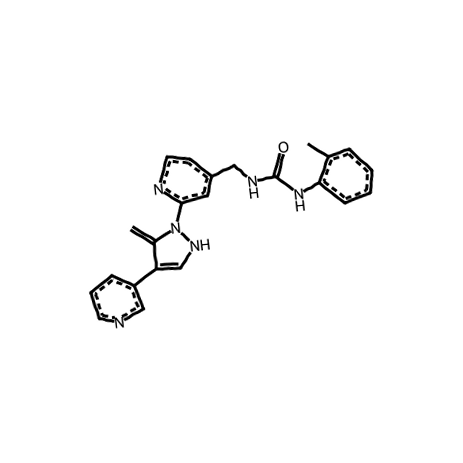 C=C1C(c2cccnc2)=CNN1c1cc(CNC(=O)Nc2ccccc2C)ccn1